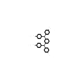 Nc1ccc(C(c2ccc(N)cc2)c2cccc(C(c3ccc(N)cc3)c3ccc(N)cc3)c2)cc1